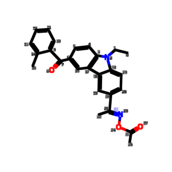 CCn1c2ccc(C(=O)c3ccccc3C)cc2c2cc(/C(C)=N/OC(C)=O)ccc21